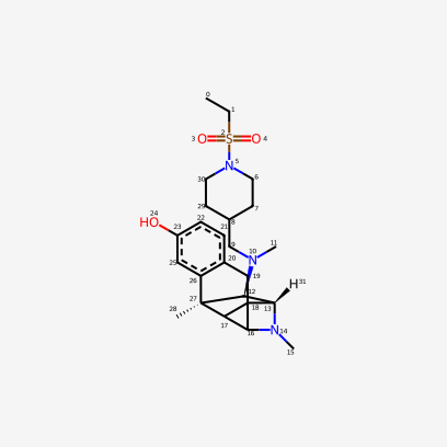 CCS(=O)(=O)N1CCC(CN(C)[C@H]2[C@@H]3N(C)C4C5C43Cc3ccc(O)cc3[C@]52C)CC1